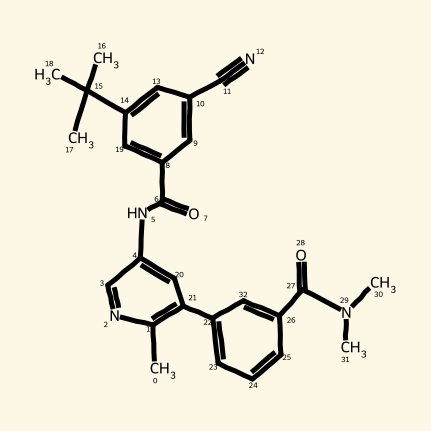 Cc1ncc(NC(=O)c2cc(C#N)cc(C(C)(C)C)c2)cc1-c1cccc(C(=O)N(C)C)c1